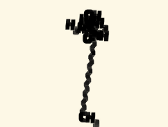 CCCCCCCCCCCCCCCCCC(=O)NC(CC)NC(C)(C)CO